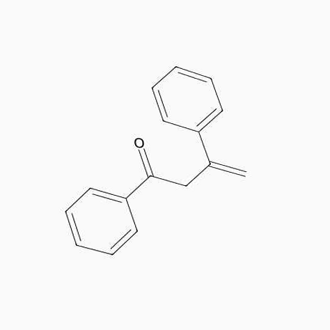 C=C(CC(=O)c1ccccc1)c1ccccc1